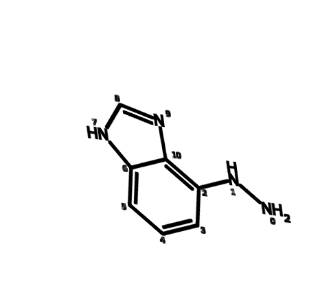 NNc1cccc2[nH]cnc12